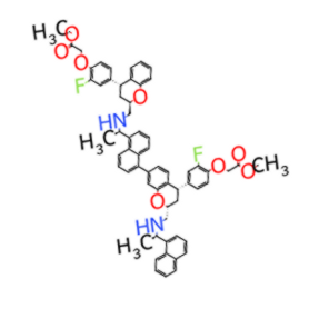 COC(=O)COc1ccc([C@H]2C[C@H](CN[C@H](C)c3cccc4c(-c5ccc6c(c5)O[C@@H](CN[C@H](C)c5cccc7ccccc57)C[C@H]6c5ccc(OCC(=O)OC)c(F)c5)cccc34)Oc3ccccc32)cc1F